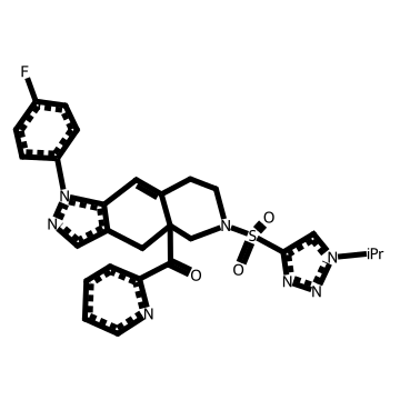 CC(C)n1cc(S(=O)(=O)N2CCC3=Cc4c(cnn4-c4ccc(F)cc4)CC3(C(=O)c3ccccn3)C2)nn1